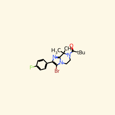 CC(C)(C)C(=O)N1CCn2c(nc(-c3ccc(F)cc3)c2Br)C1(C)C